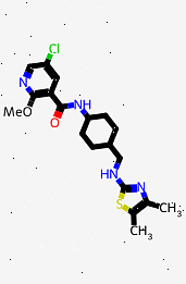 COc1ncc(Cl)cc1C(=O)NC1CCC(CNc2nc(C)c(C)s2)CC1